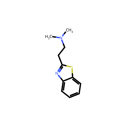 CN(C)CCc1nc2ccccc2s1